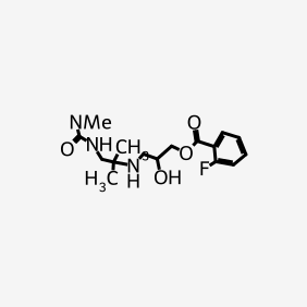 CNC(=O)NCC(C)(C)NCC(O)COC(=O)c1ccccc1F